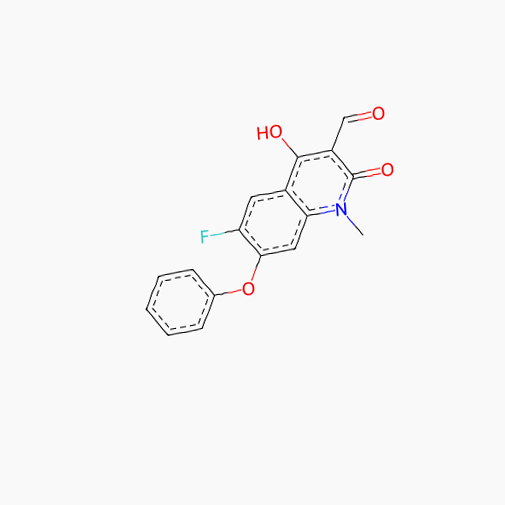 Cn1c(=O)c(C=O)c(O)c2cc(F)c(Oc3ccccc3)cc21